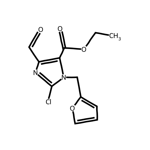 CCOC(=O)c1c(C=O)nc(Cl)n1Cc1ccco1